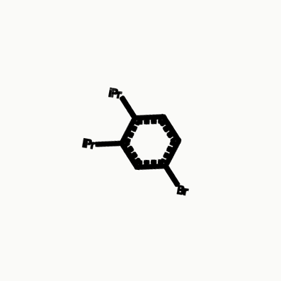 CC(C)c1ccc(Br)cc1C(C)C